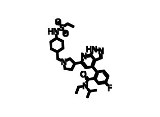 CCN(C(=O)c1cc(F)ccc1-c1cc(C2CCN(CC3CCC(NS(=O)(=O)CC)CC3)C2)nc2[nH]ncc12)C(C)C